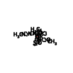 CCOc1ccccc1C1(NC(=O)ON2CCN(C3CCN(C)CC3)CC2)C(=O)N(S(=O)(=O)c2cccs2)c2ccc(OC)cc21